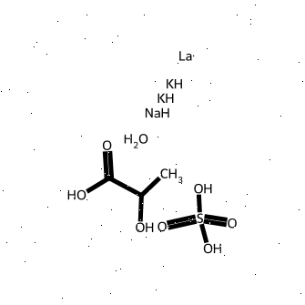 CC(O)C(=O)O.O.O=S(=O)(O)O.[KH].[KH].[La].[NaH]